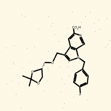 CC1(C)OC[C@@H](COCc2cn(Cc3ccc(F)cc3)c3cnc(C(=O)O)cc23)O1